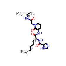 CCOC(=O)/C=C/CC[C@H](NC(=O)c1cnc[nH]1)C(=O)Nc1cccn(CC(=O)N[C@H](C(=O)O)C(C)CC)c1=O